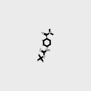 CN(C)C(=O)[C@H]1CC[C@H](NC(=O)OC(C)(C)C)CC1